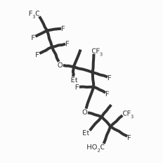 CCC(C)(OC(F)(F)C(F)(C(F)(F)F)C(C)(CC)OC(F)(F)C(F)(F)C(F)(F)F)C(F)(C(=O)O)C(F)(F)F